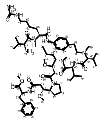 CC[C@H](C)[C@@H]([C@@H](CC(=O)N1CCC[C@H]1[C@H](OC)[C@@H](C)C(=O)N[C@@H](Cc1ccccc1)C(=O)OC)OC)N(C)C(=O)[C@@H](NC(=O)[C@H](C(C)C)N(C)CCc1ccc(NC(=O)[C@H](CCCCNC(N)=O)NC(=O)[C@@H](N)C(C)C)cc1)C(C)C